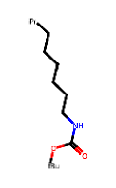 CC(C)CCCCCCNC(=O)OC(C)(C)C